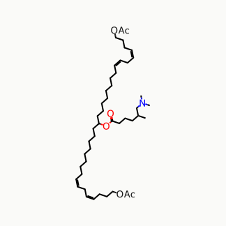 CC(=O)OCCC/C=C\C/C=C\CCCCCCCCC(CCCCCCCC/C=C\C/C=C\CCCOC(C)=O)OC(=O)CCCC(C)CN(C)C